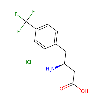 Cl.N[C@H](CC(=O)O)Cc1ccc(C(F)(F)F)cc1